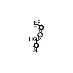 CN(C)c1ccc(C(O)CN2CCN(c3cccc(C(F)(F)F)c3)CC2)cc1